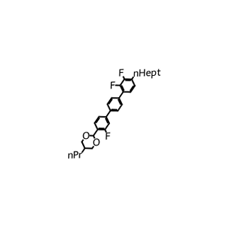 CCCCCCCc1ccc(-c2ccc(-c3ccc(C4OCC(CCC)CO4)c(F)c3)cc2)c(F)c1F